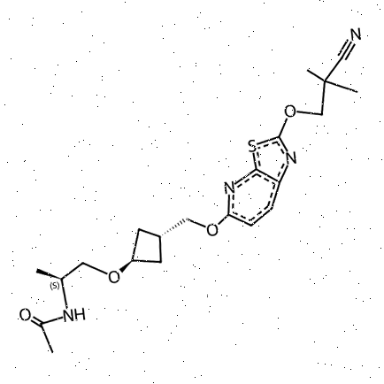 CC(=O)N[C@@H](C)CO[C@H]1C[C@H](COc2ccc3nc(OCC(C)(C)C#N)sc3n2)C1